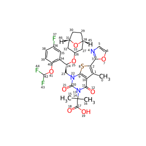 Cc1c(-c2ncco2)sc2c1c(=O)n(C(C)(C)C(=O)O)c(=O)n2C[C@H](OC1C[C@H]2CC[C@@H](C1)O2)c1cc(F)ccc1OC(F)F